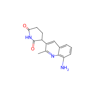 Cc1nc2c(N)cccc2cc1C1CCC(=O)NC1=O